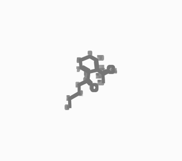 CCCCC(=O)C1=CCCC=C1C(C)=O